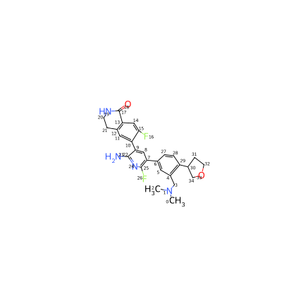 CN(C)Cc1cc(-c2cc(-c3cc4c(cc3F)C(=O)NCC4)c(N)nc2F)ccc1C1CCOC1